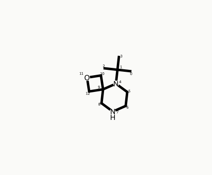 CC(C)(C)N1CCNCC12COC2